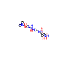 O=C(Nc1ccccc1-c1ccccc1)OC1CCN(CCNC(=O)N2CCC(CCNC[C@H](O)c3ccc(O)c4[nH]c(=O)ccc34)CC2)CC1